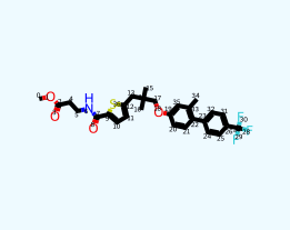 COC(=O)CCNC(=O)c1ccc(CC(C)(C)COc2ccc(-c3ccc(C(F)(F)F)cc3)c(C)c2)s1